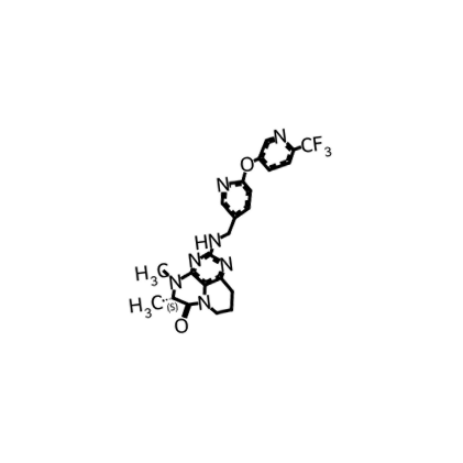 C[C@H]1C(=O)N2CCCc3nc(NCc4ccc(Oc5ccc(C(F)(F)F)nc5)nc4)nc(c32)N1C